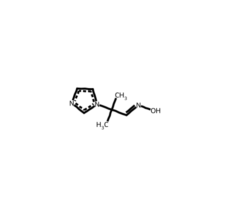 CC(C)(C=NO)n1ccnc1